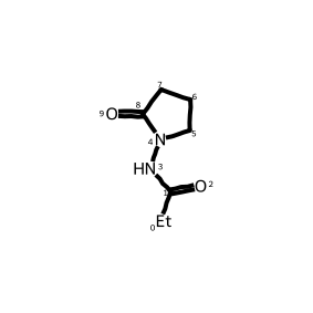 CCC(=O)NN1CCCC1=O